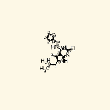 CC(N)Cc1[nH]c2nc(Cl)nc(NCc3ccco3)c2c1F